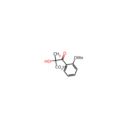 COc1ccccc1C(=O)C(C)(O)C(=O)O